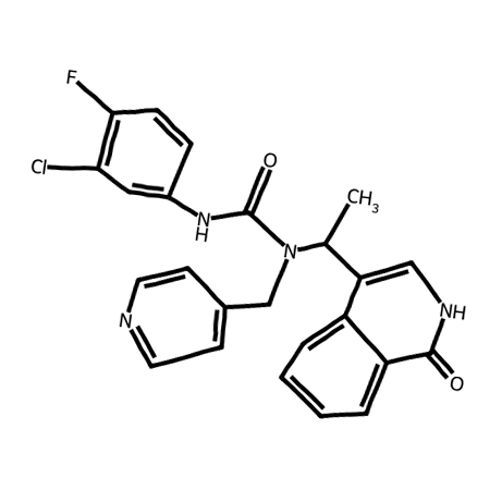 CC(c1c[nH]c(=O)c2ccccc12)N(Cc1ccncc1)C(=O)Nc1ccc(F)c(Cl)c1